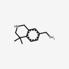 CC1(C)CNCc2cc(CP)ccc21